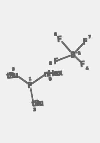 CCCCCCP(C(C)(C)C)C(C)(C)C.F[B-](F)(F)F